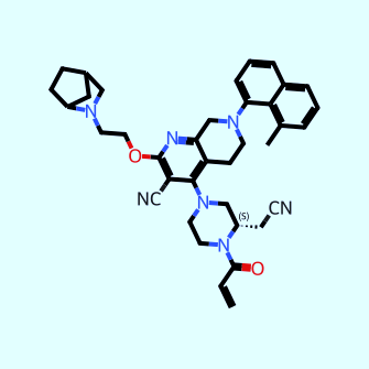 C=CC(=O)N1CCN(c2c(C#N)c(OCCN3CC4CCC3C4)nc3c2CCN(c2cccc4cccc(C)c24)C3)C[C@@H]1CC#N